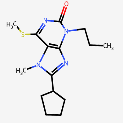 CCCn1c(=O)nc(SC)c2c1nc(C1CCCC1)n2C